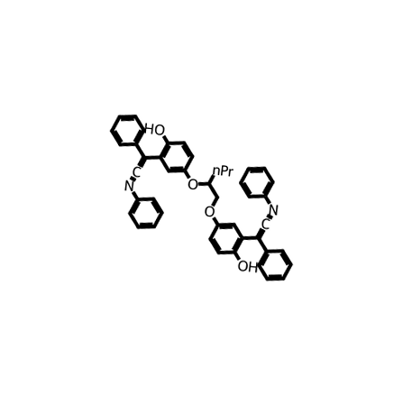 CCCC(COc1ccc(O)c(C(=C=Nc2ccccc2)c2ccccc2)c1)Oc1ccc(O)c(C(=C=Nc2ccccc2)c2ccccc2)c1